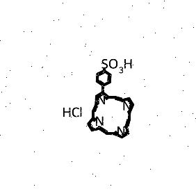 Cl.O=S(=O)(O)c1ccc(C2=CC3=CC4=NC(=CC5=NC(=CC6=NC(=CC2=N3)C=C6)C=C5)C=C4)cc1